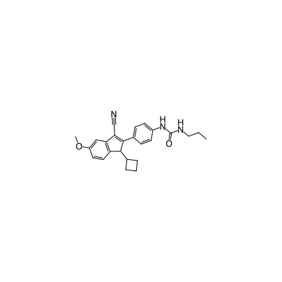 CCCNC(=O)Nc1ccc(C2=C(C#N)c3cc(OC)ccc3C2C2CCC2)cc1